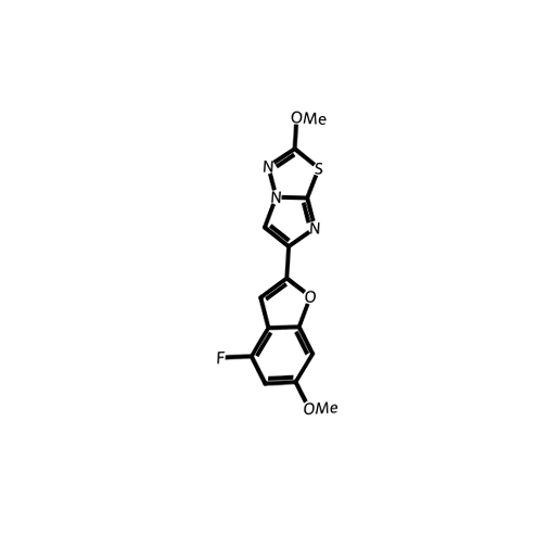 COc1cc(F)c2cc(-c3cn4nc(OC)sc4n3)oc2c1